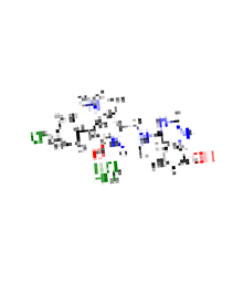 C[C@@H]1C[C@@H](O)c2ncnc(N3CCN(C(=O)[C@@H](c4ccc(Cl)cc4)[C@@H]4CCCN4C)CC3)c21.Cl.Cl